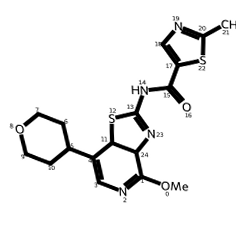 COC1=NC=C(C2CCOCC2)C2SC(NC(=O)c3cnc(C)s3)=NC12